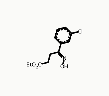 CCOC(=O)CCC(=NO)c1cccc(Cl)c1